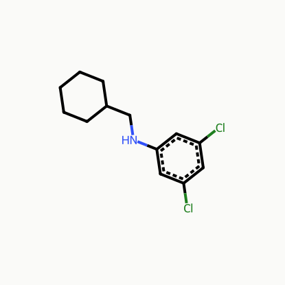 Clc1cc(Cl)cc(NCC2CCCCC2)c1